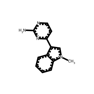 Cn1cc(-c2ccnc(N)n2)c2ccccc21